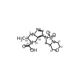 C[C@H]1Cn2ncc(N3CC4COCCN4S3(=O)=O)c2CN1C(=O)O